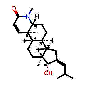 CC(C)C=C1C[C@H]2[C@@H]3CC[C@H]4N(C)C(=O)C=C[C@]4(C)[C@H]3CC[C@]2(C)[C@H]1O